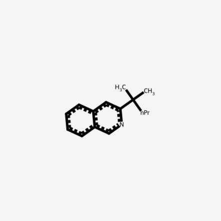 CCCC(C)(C)c1cc2ccccc2cn1